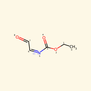 CCOC(=O)/N=C\C=O